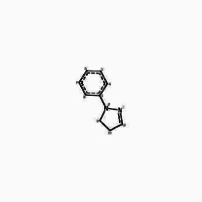 [C]1=NN(c2ccccc2)CC1